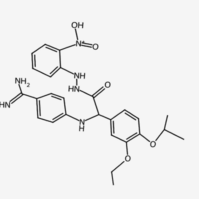 CCOc1cc(C(Nc2ccc(C(=N)N)cc2)C(=O)NNc2ccccc2[N+](=O)O)ccc1OC(C)C